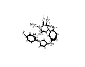 CN1C(=O)C(C)(C)[C@@](C)(c2cc(NC3CCN(c4ccc(F)cc4)C3)ccc2F)N=C1N